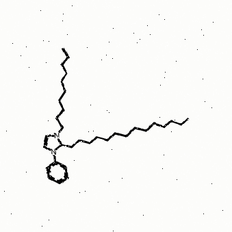 CCCCCCCCCCCCCCC1N(CCCCCCCCCC)C=CN1c1ccccc1